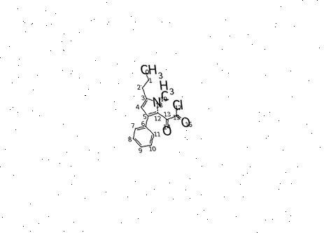 CCCc1cc(-c2ccccc2)c(C(=O)C(=O)Cl)n1C